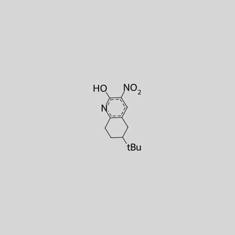 CC(C)(C)C1CCc2nc(O)c([N+](=O)[O-])cc2C1